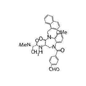 CN[C@@H](C)C(=O)NC1CN(C(=O)c2ccc(C=O)cc2)c2ccccc2N(Cc2c(OC)ccc3ccccc23)C1=O